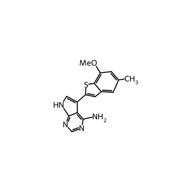 COc1cc(C)cc2cc(-c3c[nH]c4ncnc(N)c34)sc12